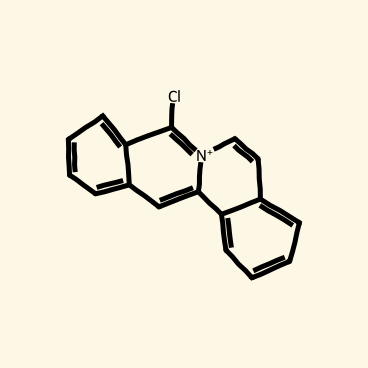 Clc1c2ccccc2cc2c3ccccc3cc[n+]12